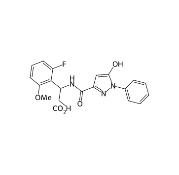 COc1cccc(F)c1C(CC(=O)O)NC(=O)c1cc(O)n(-c2ccccc2)n1